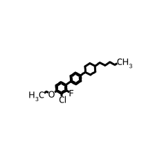 CCCCCC1CCC(c2ccc(-c3ccc(OCC)c(Cl)c3F)cc2)CC1